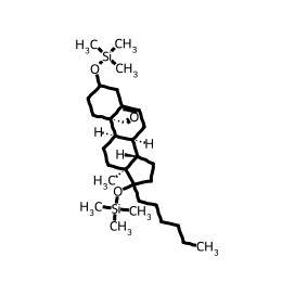 CCCCCCC1(O[Si](C)(C)C)CC[C@H]2[C@@H]3CC=C4CC(O[Si](C)(C)C)CC[C@]4(C=O)[C@@H]3CC[C@@]21C